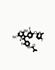 C=C(C)C(=O)Nc1ccc(-c2c(-c3ccc(Oc4ccc(F)c(C)n4)c(F)c3)c3c(N)ncc(C#N)c3n2C)c(F)c1